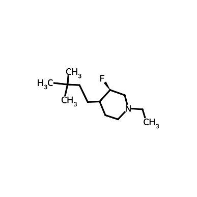 CCN1CCC(CCC(C)(C)C)[C@@H](F)C1